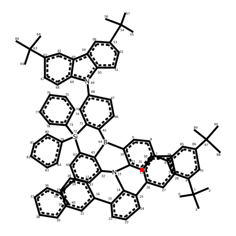 CC(C)(C)c1cc(-c2ccc3c(c2)N(c2c(-c4ccccc4)cccc2-c2ccccc2)c2cc(-c4ccccc4)cc4c2B3c2ccc(-n3c5ccc(C(C)(C)C)cc5c5cc(C(C)(C)C)ccc53)cc2[Si]4(c2ccccc2)c2ccccc2)cc(C(C)(C)C)c1